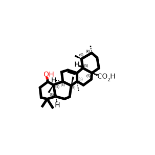 C[C@H]1[C@H](C)CC[C@]2(C(=O)O)CC[C@]3(C)C(=CC[C@@H]4[C@@]5(C)C(O)CCC(C)(C)[C@@H]5CC[C@]43C)[C@H]12